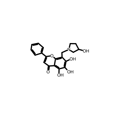 O=c1cc(-c2ccccc2)oc2c(CN3CCC(O)C3)c(O)c(O)c(O)c12